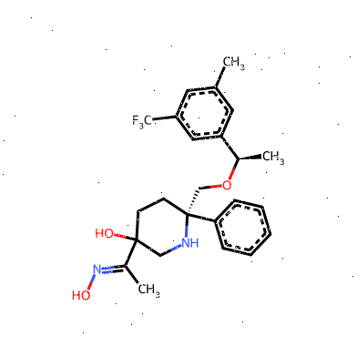 C/C(=N\O)C1(O)CC[C@@](CO[C@H](C)c2cc(C)cc(C(F)(F)F)c2)(c2ccccc2)NC1